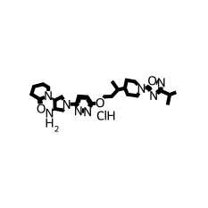 CC(C)c1noc(N2CCC(C(C)CCOc3ccc(N4C[C@H](N)[C@@H](N5CCCCC5=O)C4)nn3)CC2)n1.Cl